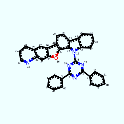 c1ccc(-c2nc(-c3ccccc3)nc(-n3c4ccccc4c4ccc5c6cc7cccnc7cc6oc5c43)n2)cc1